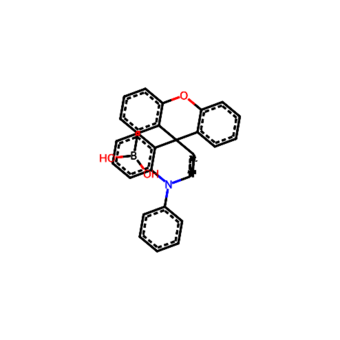 OB(O)c1cccc2c1C1(c3ccccc3O2)c2ccccc2N(c2ccccc2)c2ccccc21